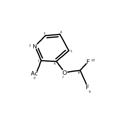 CC(=O)c1ncccc1OC(F)F